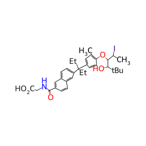 CCC(CC)(c1ccc(OC(C(C)I)C(O)C(C)(C)C)c(C)c1)c1ccc2cc(C(=O)NCC(=O)O)ccc2c1